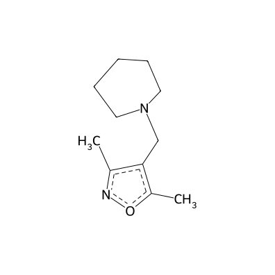 Cc1noc(C)c1CN1CCCCC1